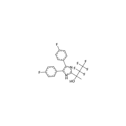 CC(O)(c1nc(-c2ccc(F)cc2)c(-c2ccc(F)cc2)[nH]1)C(F)(F)C(F)(F)F